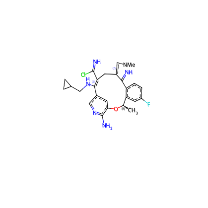 CN/C=C1/C/C(C(=N)Cl)=C(/NCC2CC2)c2cnc(N)c(c2)O[C@H](C)c2cc(F)ccc2C1=N